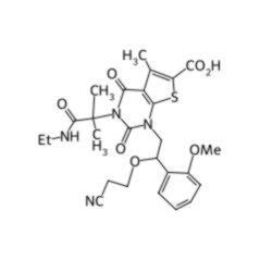 CCNC(=O)C(C)(C)n1c(=O)c2c(C)c(C(=O)O)sc2n(CC(OCCC#N)c2ccccc2OC)c1=O